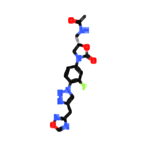 CC(=O)NC[C@H]1CN(c2ccc(-n3cc(Cc4ncon4)nn3)c(F)c2)C(=O)O1